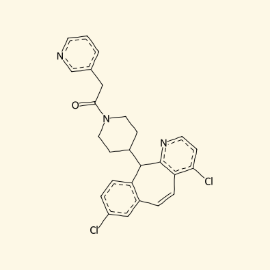 O=C(Cc1cccnc1)N1CCC(C2c3ccc(Cl)cc3C=Cc3c(Cl)ccnc32)CC1